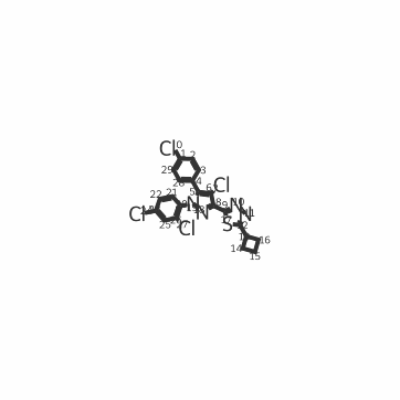 Clc1ccc(-c2c(Cl)c(-c3nnc(C4CCC4)s3)nn2-c2ccc(Cl)cc2Cl)cc1